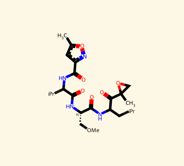 COC[C@H](NC(=O)C(NC(=O)c1cc(C)on1)C(C)C)C(=O)NC(CC(C)C)C(=O)C1(C)CO1